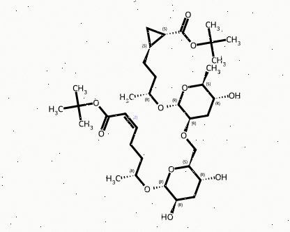 C[C@H](CC/C=C\C(=O)OC(C)(C)C)O[C@@H]1O[C@@H](CO[C@@H]2C[C@@H](O)[C@H](C)O[C@H]2O[C@H](C)CC[C@H]2C[C@@H]2C(=O)OC(C)(C)C)[C@H](O)C[C@H]1O